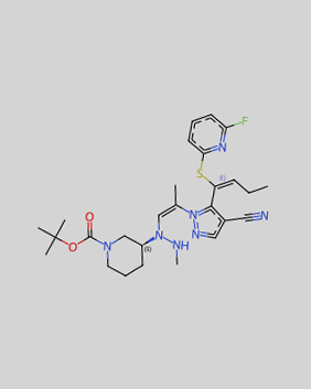 CC/C=C(/Sc1cccc(F)n1)c1c(C#N)cnn1C(C)=CN(NC)[C@H]1CCCN(C(=O)OC(C)(C)C)C1